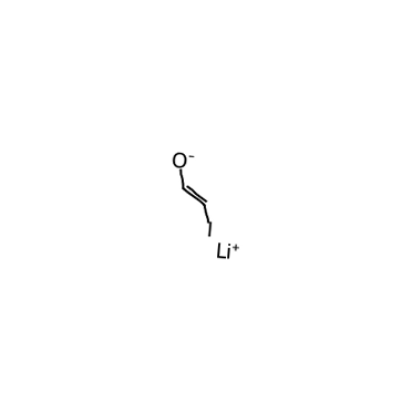 [Li+].[O-]C=CI